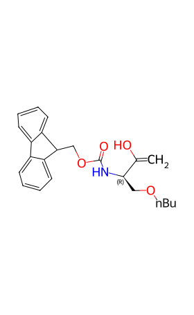 C=C(O)[C@@H](COCCCC)NC(=O)OCC1c2ccccc2-c2ccccc21